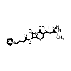 Cn1nnnc1SCC1=C(C(=O)O)N2C(=O)C(NC(=O)CCCn3cccc3)C2SC1